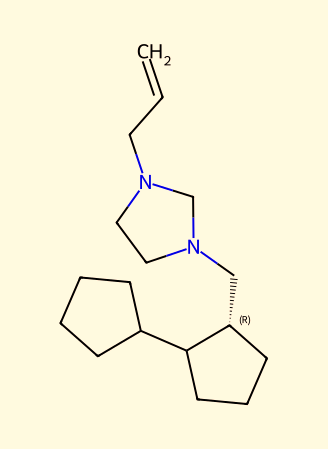 C=CCN1CCN(C[C@@H]2CCCC2C2CCCC2)C1